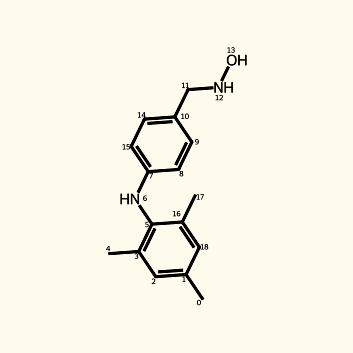 Cc1cc(C)c(Nc2ccc(CNO)cc2)c(C)c1